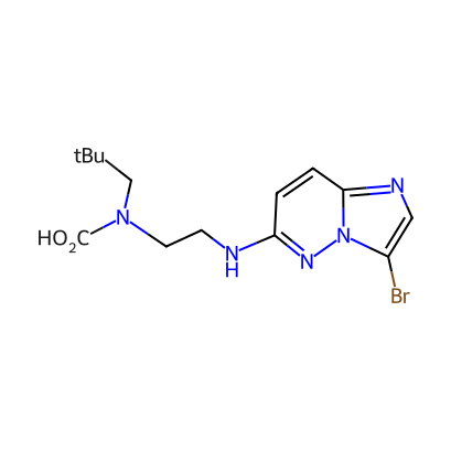 CC(C)(C)CN(CCNc1ccc2ncc(Br)n2n1)C(=O)O